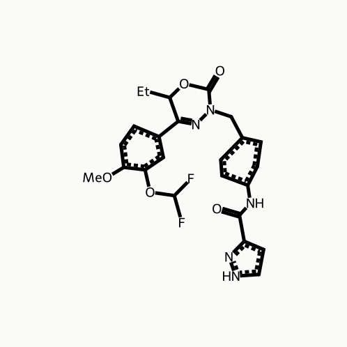 CCC1OC(=O)N(Cc2ccc(NC(=O)c3cc[nH]n3)cc2)N=C1c1ccc(OC)c(OC(F)F)c1